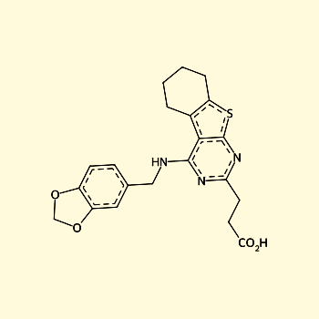 O=C(O)CCc1nc(NCc2ccc3c(c2)OCO3)c2c3c(sc2n1)CCCC3